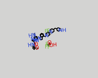 CNc1cc(N2CCc3c(CN4CC[C@H](N5CCC(CC6CCNCC6)CC5)C(F)(F)C4)cccc32)nn2c(C(=O)N[C@@H]3CC[C@H]3OC)cnc12.O=C(O)C(F)(F)F